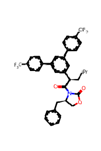 CC(C)C[C@@H](C(=O)N1C(=O)OC[C@H]1Cc1ccccc1)c1cc(-c2ccc(C(F)(F)F)cc2)cc(-c2ccc(C(F)(F)F)cc2)c1